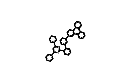 c1ccc(-c2cc(-c3ccccc3)nc(-c3ccccc3-c3cccc(-c4ccc5c6ccccc6c6ccccc6c5c4)c3)n2)cc1